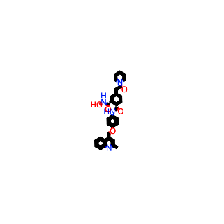 Cc1cc(COc2ccc(NC(=O)[C@H]3CCC(CC(=O)N4CCCCC4)C[C@@H]3C(=O)NO)cc2)c2ccccc2n1